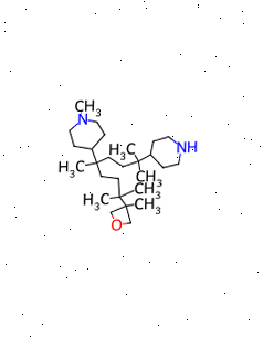 CN1CCC(C(C)(CCC(C)(C)C2CCNCC2)CCC(C)(C)C2(C)COC2)CC1